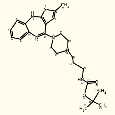 Cc1cc2c(s1)Nc1ccccc1N=C2N1CCN(CCCNC(=O)OC(C)(C)C)CC1